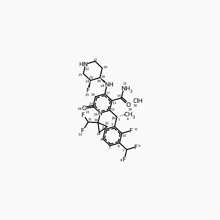 C[C@H](c1cccc(C(F)F)c1F)c1c(C(N)=O)c(N[C@@H]2CCNC[C@@H]2F)cc(=O)n1C1(C(F)F)CC1.Cl